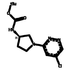 CC(C)(C)OC(=O)N[C@@H]1CCN(c2cc(Cl)cnn2)C1